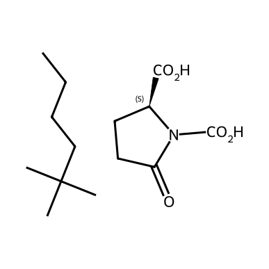 CCCCC(C)(C)C.O=C(O)[C@@H]1CCC(=O)N1C(=O)O